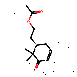 CC(=O)OCC[C@H]1CC=CC(=O)C1(C)C